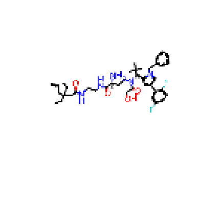 C=CCC(CC)(CC)CC(=O)NCCNC(=O)[C@@H](N)CCN(C(=O)CO)[C@@H](c1cc(-c2cc(F)ccc2F)cn1Cc1ccccc1)C(C)(C)C